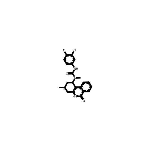 C[C@@H]1Cc2[nH]c(=O)c3ccccc3c2C(N(C)C(=O)Nc2ccc(F)c(Cl)c2)C1